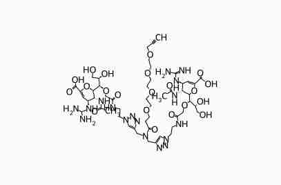 C#CCOCCOCCOCCOCCC(=O)N(Cc1cn(CCNC(=O)CO[C@@H]([C@@H]2OC(C(=O)O)=C[C@H](NC(=N)N)[C@H]2NC(C)=O)[C@H](O)CO)nn1)Cc1cn(CCNC(=O)CO[C@@H]([C@@H]2OC(C(=O)O)=C[C@H](NC(N)N)[C@H]2NC(C)=O)[C@H](O)CO)nn1